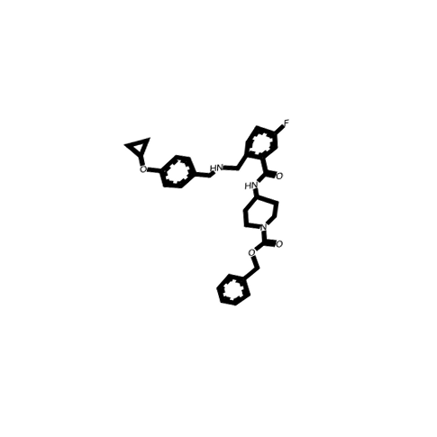 O=C(NC1CCN(C(=O)OCc2ccccc2)CC1)c1cc(F)ccc1CNCc1ccc(OC2CC2)cc1